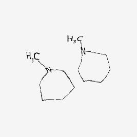 CN1CCCCC1.CN1CCCCC1